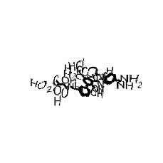 CC(C)(C(=O)O)c1cc(-c2nc3cc(C(=N)N)ccc3[nH]2)c(O)c(-c2cc(CNC(=O)C(O)C(O)C(=O)O)ccc2O)c1.Cl